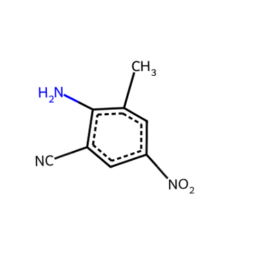 Cc1cc([N+](=O)[O-])cc(C#N)c1N